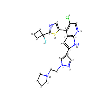 FC1(c2ncc(-c3c(Cl)cnc4[nH]c(-c5cnn(CCN6CCCC6)c5)cc34)s2)CCC1